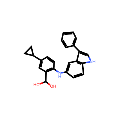 OC(O)c1cc(C2CC2)ccc1Nc1ccc2[nH]cc(-c3ccccc3)c2c1